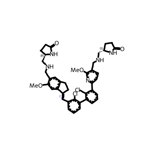 COc1cc2c(cc1CNC[C@H]1CCC(=O)N1)CC/C2=C\c1cccc(-c2cccc(-c3ccc(CNC[C@@H]4CCC(=O)N4)c(OC)n3)c2Cl)c1Cl